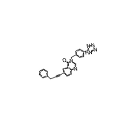 O=c1c2cc(C#CCc3ccccc3)ccc2ncn1Cc1ccc(-c2nnn[nH]2)cc1